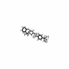 O=C(NC1CCN(Cc2ccccc2C(F)(F)F)C1)c1ccc(C2(O)COC2)cc1